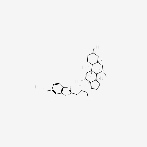 COc1ccc2nc(CCC(C)[C@H]3CC[C@H]4[C@@H]5[C@H](O)C[C@@H]6C[C@H](O)CC[C@]6(C)[C@H]5C[C@H](O)[C@]34C)oc2c1